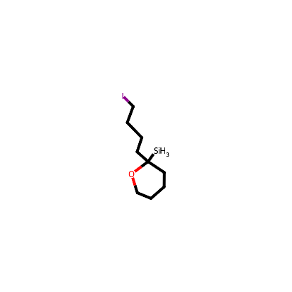 [SiH3]C1(CCCCI)CCCCO1